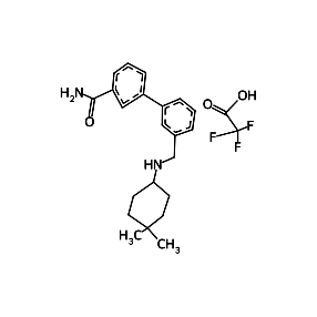 CC1(C)CCC(NCc2cccc(-c3cccc(C(N)=O)c3)c2)CC1.O=C(O)C(F)(F)F